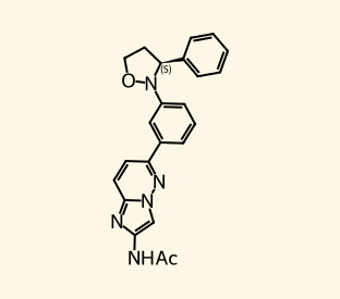 CC(=O)Nc1cn2nc(-c3cccc(N4OCC[C@H]4c4ccccc4)c3)ccc2n1